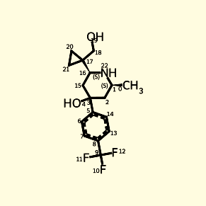 C[C@H]1CC(O)(c2ccc(C(F)(F)F)cc2)C[C@@H](C2(CO)CC2)N1